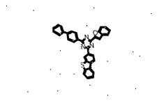 c1ccc(-c2ccc(-c3nc(-c4ccc5c(c4)sc4ccccc45)nc(-c4cc5ccccc5o4)n3)cc2)cc1